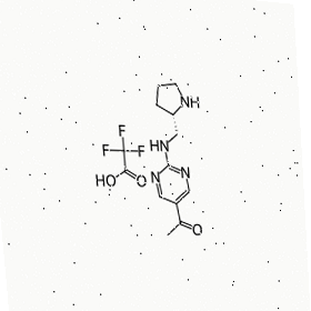 CC(=O)c1cnc(NC[C@@H]2CCCN2)nc1.O=C(O)C(F)(F)F